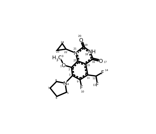 COc1c(N2CCCC2)c(F)c(C(F)F)c2c(=O)[nH]c(=O)n(C3CC3)c12